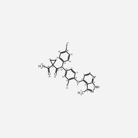 Cc1n[nH]c2nccc(Oc3ccc(N(C(=O)C4(C(N)=O)CC4)c4ccc(F)cc4)cc3F)c12